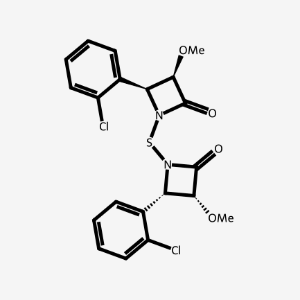 CO[C@H]1C(=O)N(SN2C(=O)[C@H](OC)[C@@H]2c2ccccc2Cl)[C@H]1c1ccccc1Cl